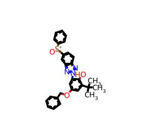 CC(C)(C)c1cc(OCc2ccccc2)cc(-n2nc3ccc([S+]([O-])c4ccccc4)cc3n2)c1O